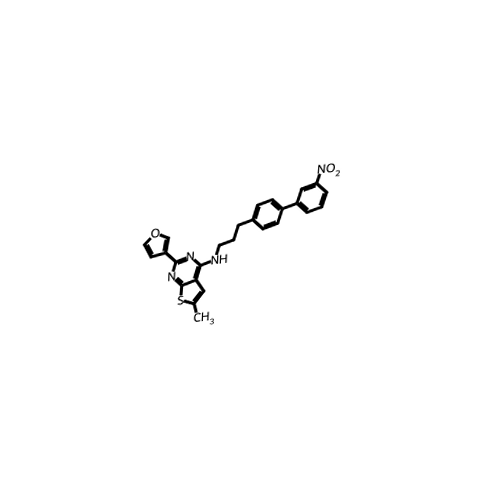 Cc1cc2c(NCCCc3ccc(-c4cccc([N+](=O)[O-])c4)cc3)nc(-c3ccoc3)nc2s1